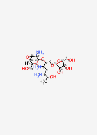 CC(O)[C@H](N)CC(N)[C@H](CO[C@@H]1O[C@H](CO)C(O)C1O)O[C@H]1OC(CO)[C@H]2OC2C1N